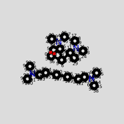 c1ccc(-c2cccc(-c3ccc(N(c4ccccc4)c4ccccc4)c4ccccc34)c2-c2ccc(N(c3ccccc3)c3ccccc3)c3ccccc23)cc1.c1ccc(N(c2ccccc2)c2ccc3cc(-c4ccc(-c5ccc(-c6ccc7cc(N(c8ccccc8)c8ccccc8)ccc7c6)cc5)cc4)ccc3c2)cc1